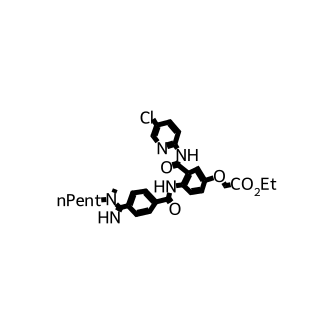 CCCCCN(C)C(=N)c1ccc(C(=O)Nc2ccc(OCC(=O)OCC)cc2C(=O)Nc2ccc(Cl)cn2)cc1